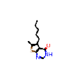 CCCCCc1c(C)sc2nc[nH]c(=O)c12